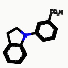 O=C(O)c1cccc(N2CCc3ccccc32)c1